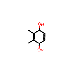 CC1=C(C)C(O)C=CC1O